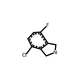 Fc1ccc(Cl)c2c1C[N]C2